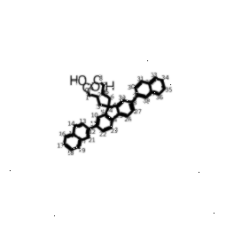 O=C(O)CCCC1(CCCC(=O)O)c2cc(-c3ccc4ccccc4c3)ccc2-c2ccc(-c3ccc4ccccc4c3)cc21